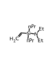 C=C[Si](CCC)(CCC)N(CC)CC